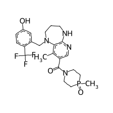 Cc1c(C(=O)N2CCP(C)(=O)CC2)cnc2c1N(Cc1cc(O)ccc1C(F)(F)F)CCCN2